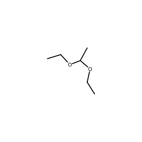 CCOC(C)OCC